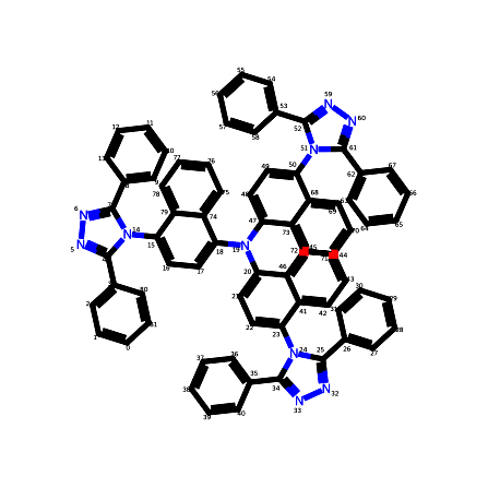 c1ccc(-c2nnc(-c3ccccc3)n2-c2ccc(N(c3ccc(-n4c(-c5ccccc5)nnc4-c4ccccc4)c4ccccc34)c3ccc(-n4c(-c5ccccc5)nnc4-c4ccccc4)c4ccccc34)c3ccccc23)cc1